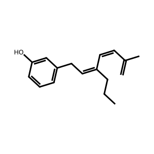 C=C(C)/C=C\C(=C/Cc1cccc(O)c1)CCC